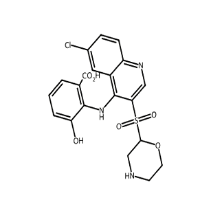 O=C(O)c1cccc(O)c1Nc1c(S(=O)(=O)C2CNCCO2)cnc2ccc(Cl)cc12